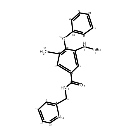 CCCCNc1cc(C(=O)NCc2ccccn2)cc(C)c1Oc1ccccc1